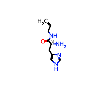 C=CCNC(=O)[C@@H](N)Cc1c[nH]cn1